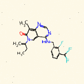 C=C(CC)n1cc2c(NCc3cccc(C(F)F)c3F)ncnc2c(C)c1=O